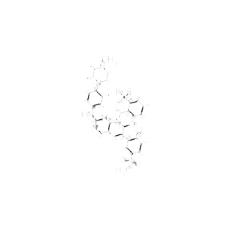 CN1CCN(c2ccc(Nc3ncc4cc(-c5cc(S(C)(=O)=O)ccc5Cl)c(=O)n(Cc5ccccc5C(F)(F)F)c4n3)cc2)CC1